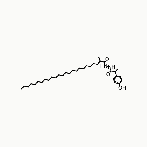 CCCCCCCCCCCCCCCCCCCCCCCC(C)C(=O)NNC(=O)C(C)c1ccc(O)cc1